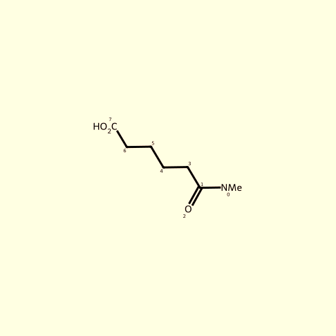 CNC(=O)CCCCC(=O)O